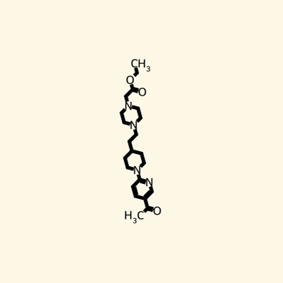 CCOC(=O)CN1CCN(CCC2CCN(c3ccc(C(C)=O)cn3)CC2)CC1